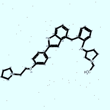 CCN1CCC(Oc2ccccc2Cc2cccc3sc(-c4ccc(OCCN5CCCC5)cc4)cc23)C1